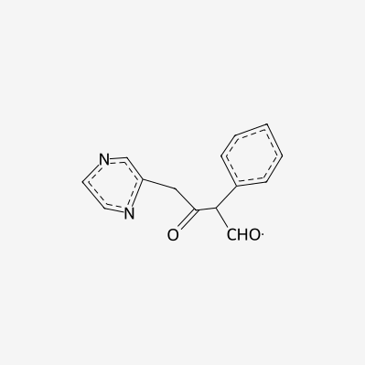 O=[C]C(C(=O)Cc1cnccn1)c1ccccc1